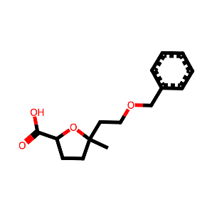 CC1(CCOCc2ccccc2)CCC(C(=O)O)O1